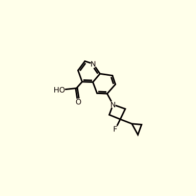 O=C(O)c1ccnc2ccc(N3CC(F)(C4CC4)C3)cc12